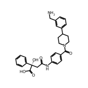 NCc1cccc(C2CCN(C(=O)c3ccc(NC(=O)C[C@@](O)(C(=O)O)c4ccccc4)cc3)CC2)c1